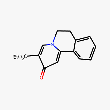 CCOC(=O)c1cn2c(cc1=O)-c1ccccc1CC2